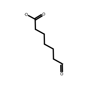 [O]C(=O)CCCCC[C]=O